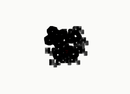 Cc1ccc2c(c1-c1cc3c(cc1N(c1ccc4c(c1)C(C)(C)CCC4(C)C)c1ccc4c(c1)C(C)(C)CCC4(C)C)C1(c4ccccc4-c4ccccc41)c1ccccc1-3)C(C)(C)CCC2(C)C